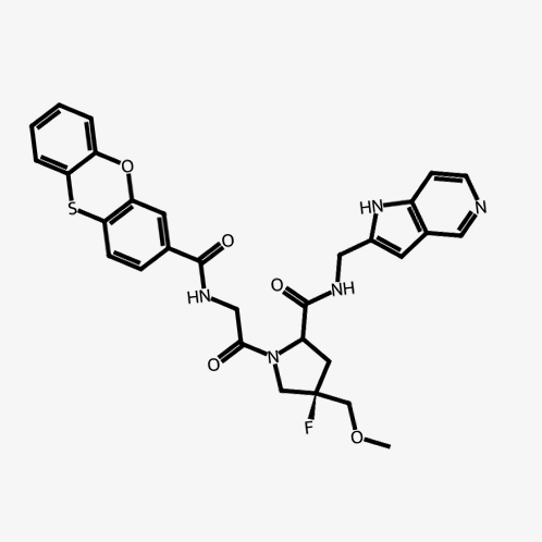 COC[C@@]1(F)CC(C(=O)NCc2cc3cnccc3[nH]2)N(C(=O)CNC(=O)c2ccc3c(c2)Oc2ccccc2S3)C1